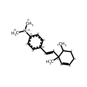 CC1CCC=CC1(C)C=Cc1ccc(N(C)C)cc1